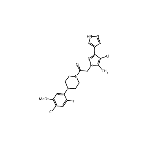 COc1cc(N2CCN(C(=O)Cn3nc(-c4c[nH]nn4)c(Cl)c3C)CC2)c(F)cc1Cl